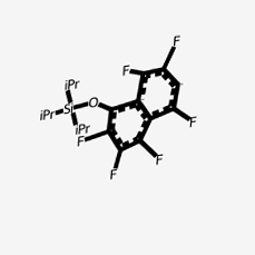 CC(C)[Si](Oc1c(F)c(F)c(F)c2c(F)[c]c(F)c(F)c12)(C(C)C)C(C)C